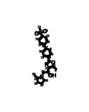 Cc1oc(-c2ccc(-c3ccc(S(C)(=O)=O)cc3)cc2)nc1C(O)CN1CCCC1C